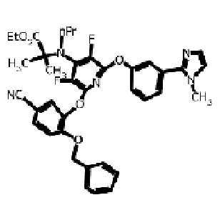 CCCN(c1c(F)c(Oc2cccc(-c3nccn3C)c2)nc(Oc2cc(C#N)ccc2OCc2ccccc2)c1F)C(C)(C)C(=O)OCC